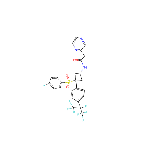 O=C(Cc1cnccn1)N[C@H]1C[C@@](c2ccc(C(F)(C(F)(F)F)C(F)(F)F)cc2)(S(=O)(=O)c2ccc(F)cc2)C1